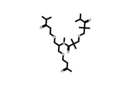 CC(=O)CCOCC(COCCC(=O)C(C)C)N(C)C(=O)C(C)(C)COCC(C)(C)C(=O)C(C)C